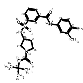 Cc1cc(NC(=O)c2cccc(S(=O)(=O)NC3CCN(C(=O)OC(C)(C)C)C3)c2)ccc1F